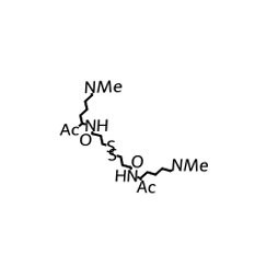 CNCCCCC(NC(=O)CCSSCCC(=O)NC(CCCCNC)C(C)=O)C(C)=O